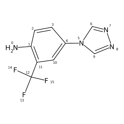 Nc1ccc(-n2cnnc2)cc1C(F)(F)F